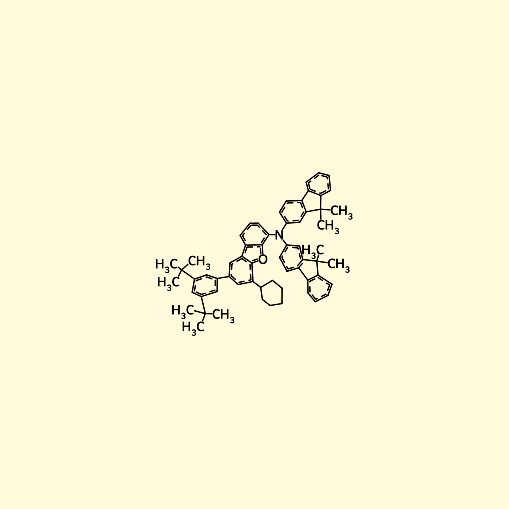 CC(C)(C)c1cc(-c2cc(C3CCCCC3)c3oc4c(N(c5ccc6c(c5)C(C)(C)c5ccccc5-6)c5ccc6c(c5)C(C)(C)c5ccccc5-6)cccc4c3c2)cc(C(C)(C)C)c1